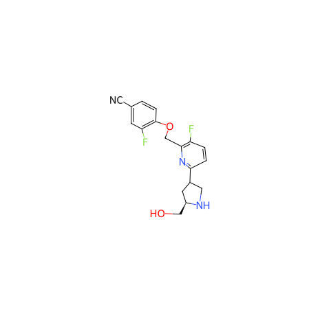 N#Cc1ccc(OCc2nc(C3CN[C@@H](CO)C3)ccc2F)c(F)c1